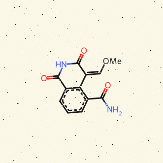 COC=C1C(=O)NC(=O)c2cc[c]c(C(N)=O)c21